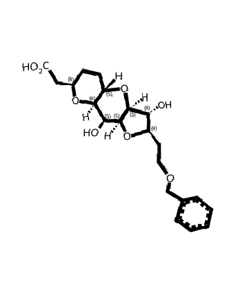 O=C(O)C[C@H]1CC[C@@H]2O[C@H]3[C@H](O)[C@@H](CCOCc4ccccc4)O[C@H]3[C@@H](O)[C@H]2O1